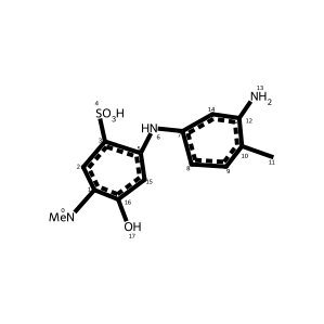 CNc1cc(S(=O)(=O)O)c(Nc2ccc(C)c(N)c2)cc1O